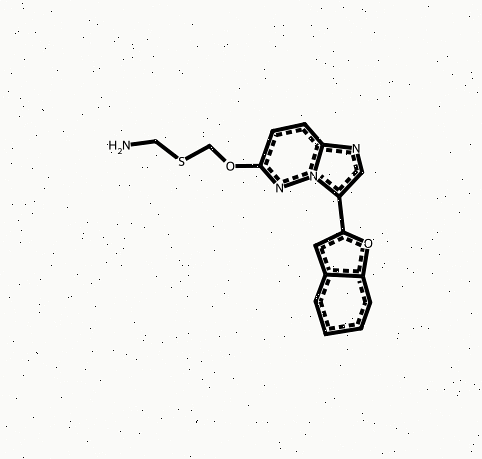 NCSCOc1ccc2ncc(-c3cc4ccccc4o3)n2n1